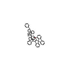 O=C(OCc1ccccc1)N(I)c1cccc(-c2cccc3c2C2(c4ccccc4-3)c3ccccc3-c3c2ccc2oc4ccccc4c32)c1